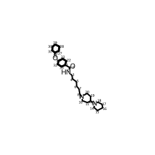 O=C(NCCCCCCN1CCC(N2CCCCC2)CC1)c1ccc(Oc2ccccc2)cc1